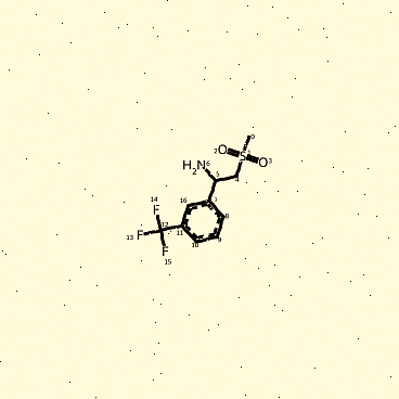 CS(=O)(=O)CC(N)c1cccc(C(F)(F)F)c1